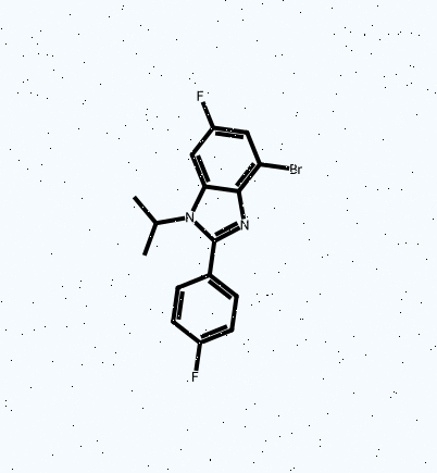 CC(C)n1c(-c2ccc(F)cc2)nc2c(Br)cc(F)cc21